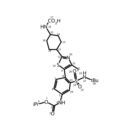 CC(C)OC(=O)Nc1ccc(-c2sc(C3CCC(NC(=O)O)CC3)nc2F)c(S(=O)(=O)NC(C)(C)C)c1